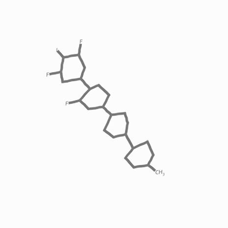 CC1CCC(C2CCC(C3CCC(C4CC(F)C(I)C(F)C4)C(F)C3)CC2)CC1